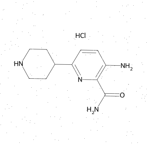 Cl.NC(=O)c1nc(C2CCNCC2)ccc1N